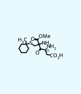 COC(=O)[C@@](N)(CSC1(C)CCCCC1)C(=O)[C@@H](N)CC(=O)O